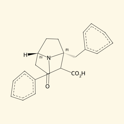 O=C(O)C1C(=O)C[C@@H]2CC[C@]1(Cc1ccccc1)N2Cc1ccccc1